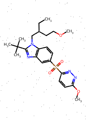 CCC(CCOC)Cn1c(C(C)(C)C)nc2cc(S(=O)(=O)c3ccc(OC)nn3)ccc21